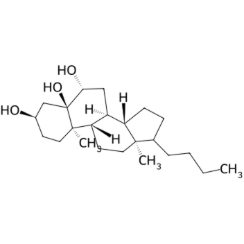 CCCCC1CC[C@H]2[C@@H]3C[C@@H](O)[C@@]4(O)C[C@H](O)CC[C@]4(C)[C@H]3CC[C@]12C